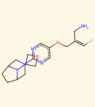 NC/C(=C\F)COc1cnc(N2CC3CCC(C2)N3C2COC2)nc1